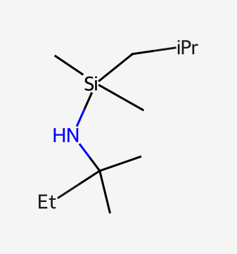 CCC(C)(C)N[Si](C)(C)CC(C)C